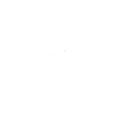 C=N/C(C)=C(/NCCC)[C@@H](C)c1ccc(-c2ccccc2N(C)c2ccccc2)cc1